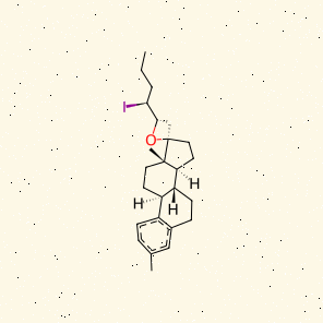 CCC[C@H](I)[C@@H]1C[C@@]2(CC[C@H]3[C@@H]4CCc5cc(C)ccc5[C@H]4CC[C@@]32C)O1